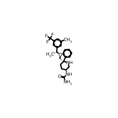 Cc1cc([C@@H](C)OC[C@@]2(c3ccccc3)CC[C@H](NC(N)=O)CN2)cc(C(F)(F)F)c1